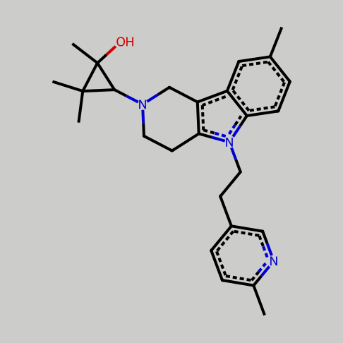 Cc1ccc2c(c1)c1c(n2CCc2ccc(C)nc2)CCN(C2C(C)(C)C2(C)O)C1